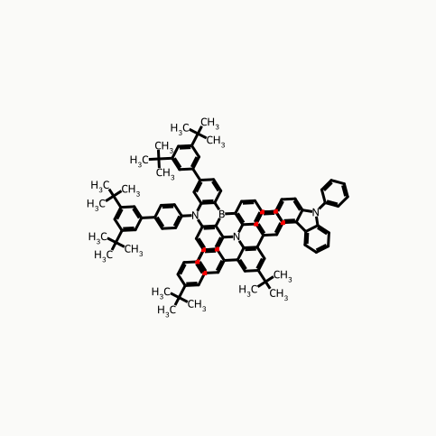 CC(C)(C)c1ccc(-c2cc3c4c(c2)N(c2c(-c5ccccc5)cc(C(C)(C)C)cc2-c2ccccc2)c2cc(-c5ccc6c(c5)c5ccccc5n6-c5ccccc5)ccc2B4c2ccc(-c4cc(C(C)(C)C)cc(C(C)(C)C)c4)cc2N3c2ccc(-c3cc(C(C)(C)C)cc(C(C)(C)C)c3)cc2)cc1